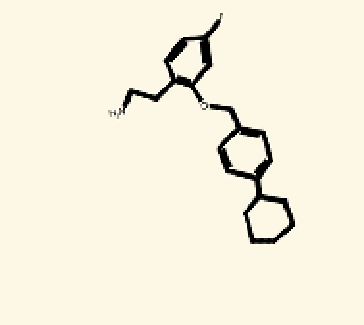 NCCc1ccc(F)cc1OCc1ccc(C2CCCCC2)cc1